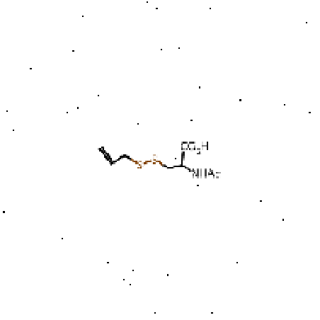 C=CCSSCC(NC(C)=O)C(=O)O